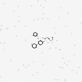 O=C1CCC(CC2CN(S(=O)(=O)c3cccc(C(F)(F)F)c3)c3cc(-c4cc(F)ccc4F)ccc3O2)(C(=O)O)N1